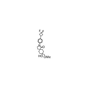 COC[C@]1(O)CC[C@]2(CCN(c3ccc(C4CC(F)(F)C4)cc3)C2=O)CC1